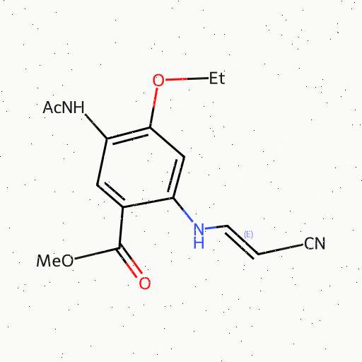 CCOc1cc(N/C=C/C#N)c(C(=O)OC)cc1NC(C)=O